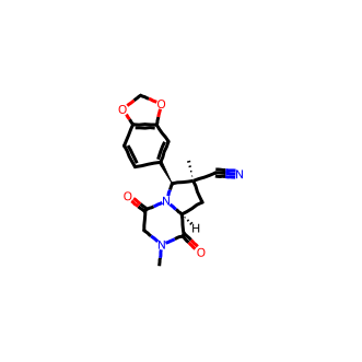 CN1CC(=O)N2[C@@H](c3ccc4c(c3)OCO4)[C@@](C)(C#N)C[C@H]2C1=O